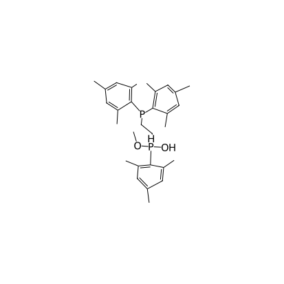 CO[PH](O)(CCP(c1c(C)cc(C)cc1C)c1c(C)cc(C)cc1C)c1c(C)cc(C)cc1C